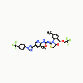 Cc1ccc(COCC(F)(F)F)c(N2C(=O)CS/C2=N\C(=O)Nc2ncc(-c3ncn(-c4ccc(C(F)(F)F)cc4)n3)cc2C)c1